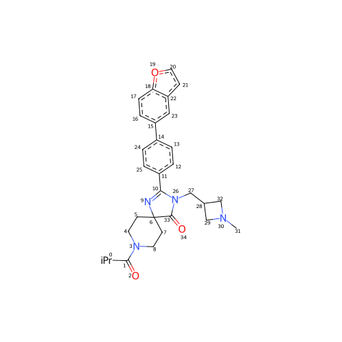 CC(C)C(=O)N1CCC2(CC1)N=C(c1ccc(-c3ccc4occc4c3)cc1)N(CC1CN(C)C1)C2=O